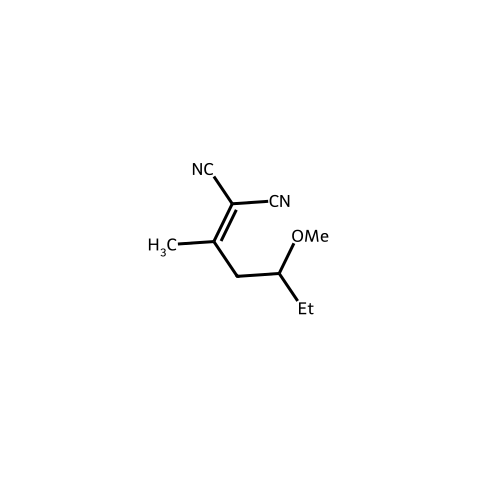 CCC(CC(C)=C(C#N)C#N)OC